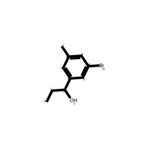 CCC(O)c1cc(C)cc(Br)c1